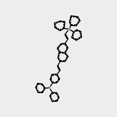 C(=C\c1ccc2cc(/C=C/[Si](c3ccccc3)(c3ccccc3)c3ccccc3)ccc2c1)/c1ccc(N(c2ccccc2)c2ccccc2)cc1